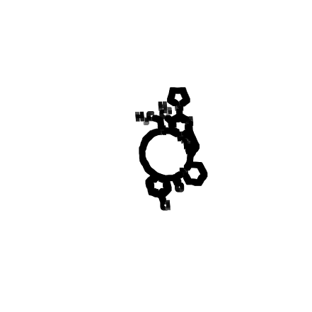 CCN1CCCCCc2ccc(Cl)cc2C(=O)N2CCCCC2c2cc3nc(N4CCCC4)c(C)c1n3n2